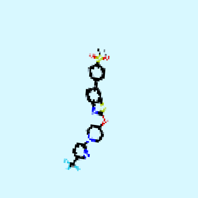 CS(=O)(=O)c1ccc(-c2ccc3nc(OC4CCN(c5ccc(C(F)(F)F)cn5)CC4)sc3c2)cc1